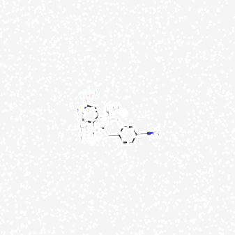 CC1(C)Cc2ccc(C#N)cc2CS1(C)c1ccnc(O)c1